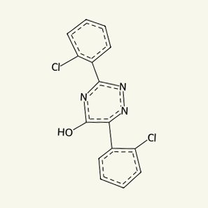 Oc1nc(-c2ccccc2Cl)nnc1-c1ccccc1Cl